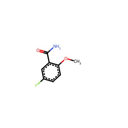 COc1c[c]c(F)cc1C(N)=O